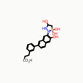 O=C(O)CCc1cccc(-c2ccc3cc(O)c(N4NC(O)CS4(O)O)cc3c2)c1